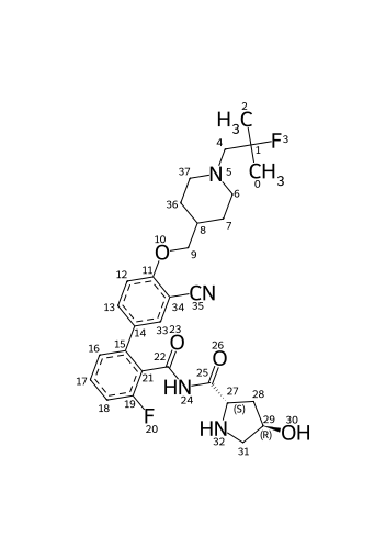 CC(C)(F)CN1CCC(COc2ccc(-c3cccc(F)c3C(=O)NC(=O)[C@@H]3C[C@@H](O)CN3)cc2C#N)CC1